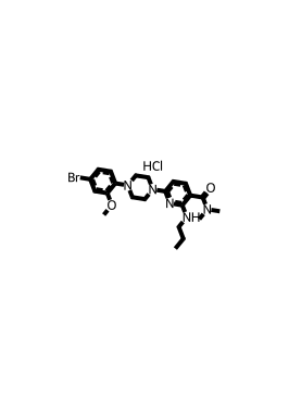 CCCNc1nc(N2CCN(c3ccc(Br)cc3OC)CC2)ccc1C(=O)N(C)C.Cl